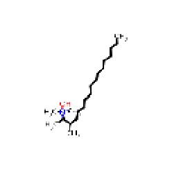 CCCCCCCCCCCCCCC(C)C(C)[N+](C)(C)O